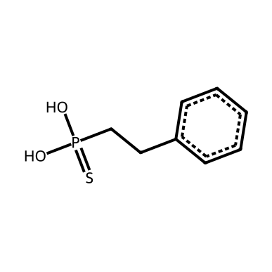 OP(O)(=S)CCc1ccccc1